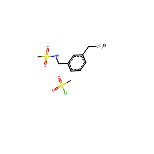 CCOC(=O)Cc1cccc(CNS(C)(=O)=O)c1.CS(=O)(=O)Cl